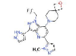 Cn1nccc1-c1cc(N2CCC3(CC2)COC3)c2c(n1)c(-c1ccn[nH]1)nn2CC(F)(F)F